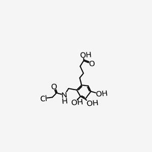 O=C(O)CCCc1cc(O)c(O)c(O)c1CNC(=O)CCl